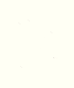 COc1ccc(C#N)cc1-c1cc2nccc(-c3cc[nH]n3)c2o1